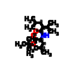 CC(C)CC(C(=O)N[C@@H](CC(C)C)C(=O)OC(C)(C)C)C(C)C